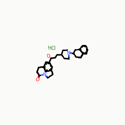 Cl.O=C(CCC1CCN(C2CCc3ccccc3C2)CC1)c1cc2c3c(c1)CCN3C(=O)CC2